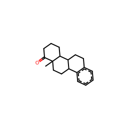 CC12CCC3c4ccccc4CCC3C1CCCC2=O